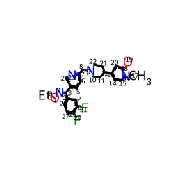 CCO/N=C(/c1ccc(CN2CCC(c3ccn(C)c(=O)c3)CC2)nc1)c1ccc(F)c(F)c1